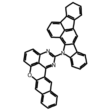 C1=CC2=C(CC1)c1cccc3c1c2cc1c2ccccc2n(-c2nc4c5c(cccc5n2)Oc2cc5ccccc5cc2-4)c31